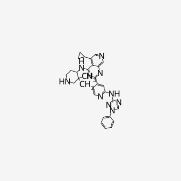 CC1(C)CNCCC1Nc1nc(-c2ccnc(Nc3ncn(-c4ccccc4)n3)c2)nc2cncc(C3CC3)c12